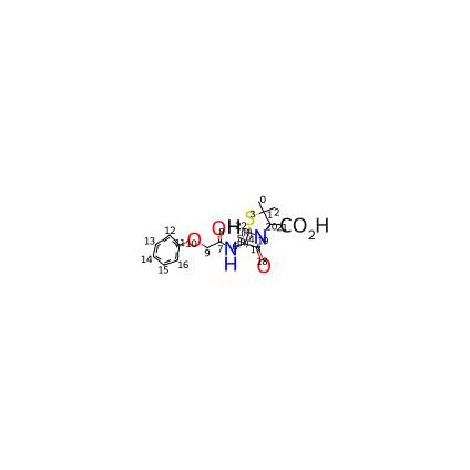 CC1(C)S[C@@H]2[C@H](NC(=O)COc3ccccc3)C(=O)N2C1C(=O)O